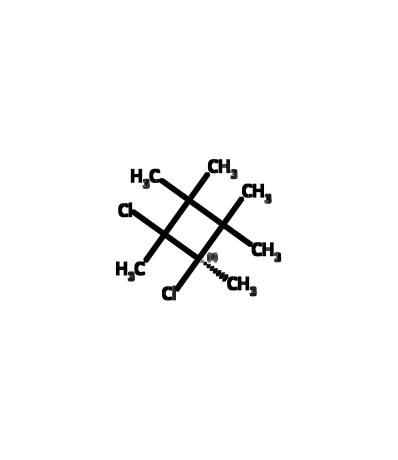 CC1(C)C(C)(C)[C@@](C)(Cl)C1(C)Cl